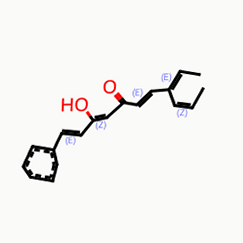 C\C=C/C(/C=C/C(=O)/C=C(O)/C=C/c1ccccc1)=C\C